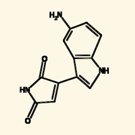 Nc1ccc2[nH]cc(C3=CC(=O)NC3=O)c2c1